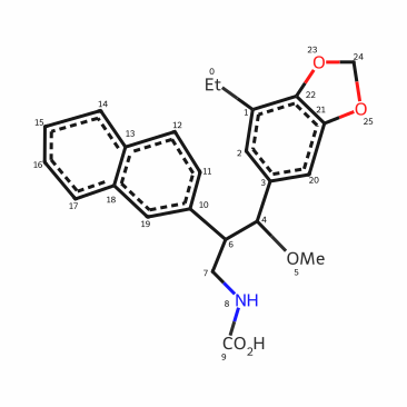 CCc1cc(C(OC)C(CNC(=O)O)c2ccc3ccccc3c2)cc2c1OCO2